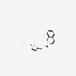 Cn1ccc(COC(=O)N2C=Cc3ccccc3C2)n1